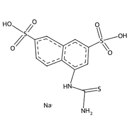 NC(=S)Nc1cc(S(=O)(=O)O)cc2cc(S(=O)(=O)O)ccc12.[Na]